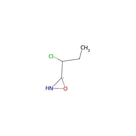 CCC(Cl)[C]1NO1